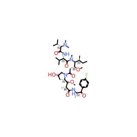 CC[C@H](C)C([C@@H](CC(=O)N1C[C@@H](O)C[C@H]1[C@H](OC)[C@@H](C)C(=O)N[C@@H](C)C(=O)c1ccc(F)cc1)OC)N(C)C(=O)[C@@H](NC(=O)[C@H](C(C)C)N(C)C)C(C)C